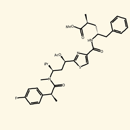 COC(=O)[C@@H](C)C[C@H](Cc1ccccc1)NC(=O)c1csc([C@@H](C[C@H](C(C)C)N(C)C(=O)[C@@H](C)c2ccc(F)cc2)OC(C)=O)n1